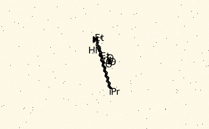 CCOS(=O)(=O)[O-].CC[N+](C)(C)CCCNCCCCCCCCCCCCCCCC(C)C